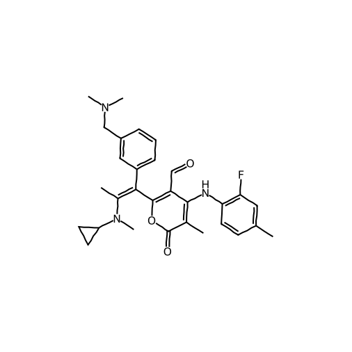 C/C(=C(\c1cccc(CN(C)C)c1)c1oc(=O)c(C)c(Nc2ccc(C)cc2F)c1C=O)N(C)C1CC1